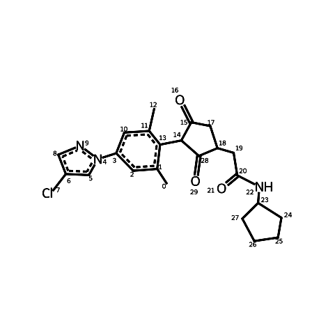 Cc1cc(-n2cc(Cl)cn2)cc(C)c1C1C(=O)CC(CC(=O)NC2CCCC2)C1=O